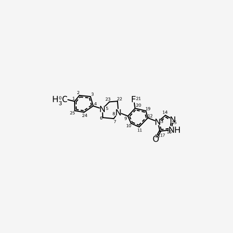 Cc1ccc(N2CCN(c3ccc(-n4cn[nH]c4=O)cc3F)CC2)cc1